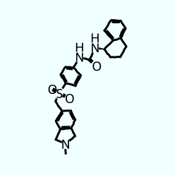 CN1Cc2ccc(CS(=O)(=O)c3ccc(NC(=O)N[C@@H]4CCCc5ccccc54)cc3)cc2C1